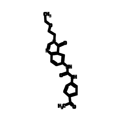 CCOCCn1cnc2ccc(NC(=O)Nc3ccc(C(C)=O)cc3)cc2c1=O